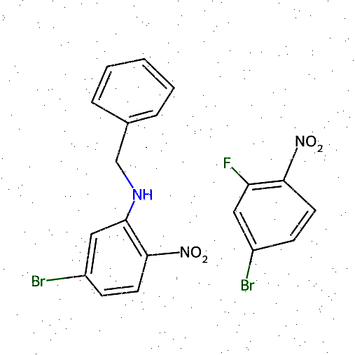 O=[N+]([O-])c1ccc(Br)cc1F.O=[N+]([O-])c1ccc(Br)cc1NCc1ccccc1